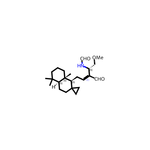 COC[C@@H](NC=O)/C(C=O)=C\C[C@H]1C2(CC[C@H]3C(C)(C)CCC[C@@]31C)CC2